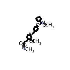 C/C=N\OC(=O)CCc1ccc(OCc2ccc(OC/C(=N\OC)c3ccccc3)cc2)cc1OC